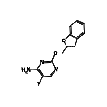 Nc1nc(OCC2Cc3ccccc3O2)ncc1F